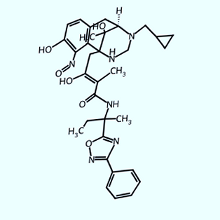 CCC(C)(NC(=O)/C(C)=C(\O)CC12NCN(CC3CC3)[C@H](Cc3ccc(O)c(N=O)c31)C2(C)O)c1nc(-c2ccccc2)no1